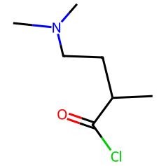 CC(CCN(C)C)C(=O)Cl